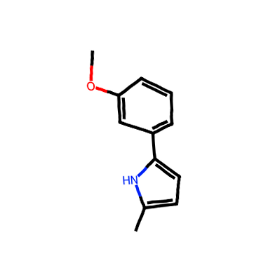 COc1cccc(-c2ccc(C)[nH]2)c1